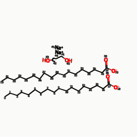 CCCCCCCCCCCCCCCCCC(=O)[O-].CCCCCCCCCCCCCCCCCC(=O)[O-].OCCO.[Na+].[Na+]